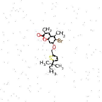 Cc1cc2c(C)c(Br)c(OCc3ccc(C(C)(C)C)s3)cc2oc1=O